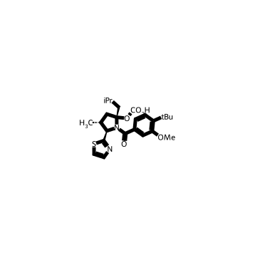 COc1cc(C(=O)N2[C@@H](c3nccs3)[C@H](C)C[C@]2(CC(C)C)OC(=O)O)ccc1C(C)(C)C